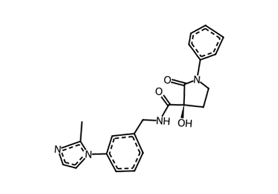 Cc1nccn1-c1cccc(CNC(=O)[C@@]2(O)CCN(c3ccccc3)C2=O)c1